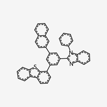 c1ccc(-n2c(-c3cc(-c4ccc5ccccc5c4)cc(-c4cccc5c4sc4ccccc45)c3)nc3ccccc32)cc1